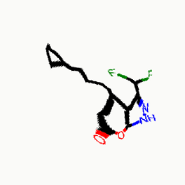 O=c1cc(CCCC2CC2)c2c(C(F)F)n[nH]c2o1